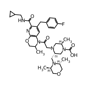 CC1COc2nc(C(=O)NCC3CC3)c(Cc3ccc(F)cc3)cc2N1C(=O)CN1C[C@@H](C)N(C(=O)O)C[C@@H]1CN1[C@H](C)COC[C@H]1C